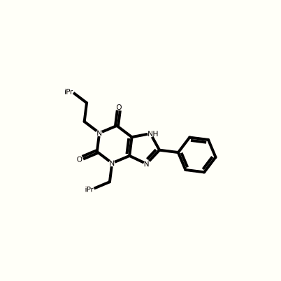 CC(C)CCn1c(=O)c2[nH]c(-c3ccccc3)nc2n(CC(C)C)c1=O